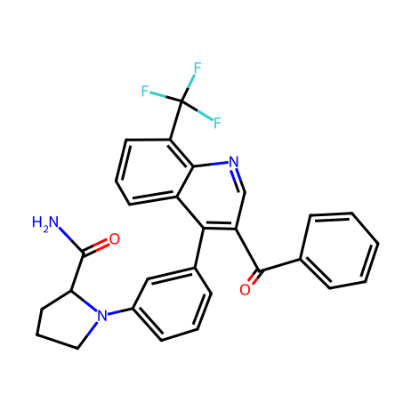 NC(=O)C1CCCN1c1cccc(-c2c(C(=O)c3ccccc3)cnc3c(C(F)(F)F)cccc23)c1